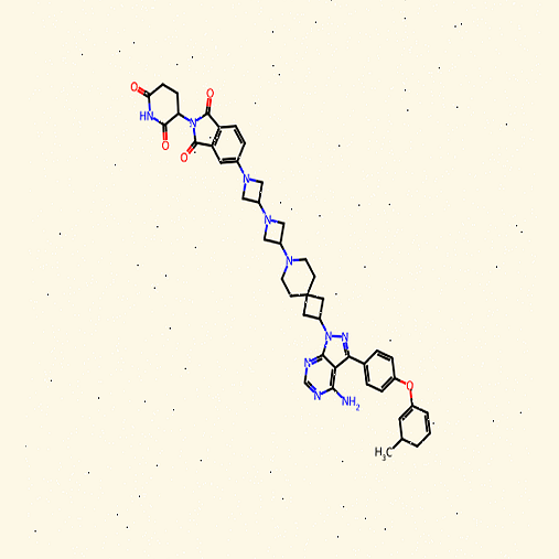 CC1C=C(Oc2ccc(-c3nn(C4CC5(CCN(C6CN(C7CN(c8ccc9c(c8)C(=O)N(C8CCC(=O)NC8=O)C9=O)C7)C6)CC5)C4)c4ncnc(N)c34)cc2)C=CC1